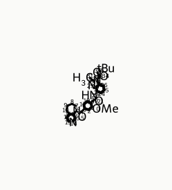 COc1cc(C(=O)N2CCCCc3ccncc32)ccc1C(=O)Nc1cccc2c1nc(C)n2C(=O)OC(C)(C)C